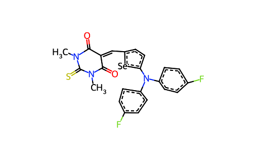 CN1C(=O)C(=Cc2ccc(N(c3ccc(F)cc3)c3ccc(F)cc3)[se]2)C(=O)N(C)C1=S